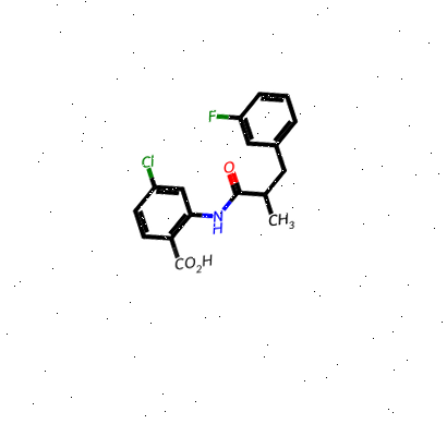 CC(Cc1cccc(F)c1)C(=O)Nc1cc(Cl)ccc1C(=O)O